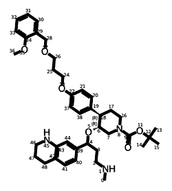 CNCCC(O[C@H]1CN(C(=O)OC(C)(C)C)CC[C@@H]1c1ccc(OCCCOCc2ccccc2OC)cc1)c1ccc2c(c1)NCCC2